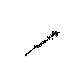 CCCCCCCCCCCCCCCC(=O)NCCCOCCOCCOCCCNC(=O)COCC(=O)NC(CCC(=O)O)C(=O)OC(C)(C)C